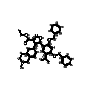 CCOC(=O)c1noc(-c2cc(C(C)C)c(OCc3ccccc3)cc2OCc2ccccc2)c1-c1ccc2c(c1)CCN(C)C2